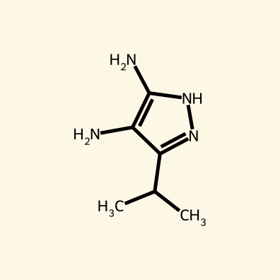 CC(C)c1n[nH]c(N)c1N